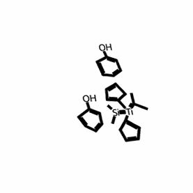 C[C](C)=[Ti]([C]1=CC=CC1)([C]1=CC=CC1)=[Si](C)C.Oc1ccccc1.Oc1ccccc1